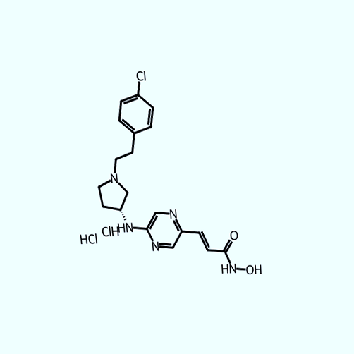 Cl.Cl.O=C(/C=C/c1cnc(N[C@@H]2CCN(CCc3ccc(Cl)cc3)C2)cn1)NO